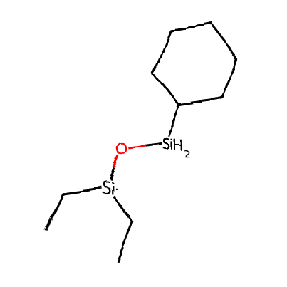 CC[Si](CC)O[SiH2]C1CCCCC1